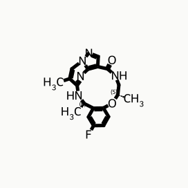 Cc1cn2ncc3c2nc1N[C@H](C)c1cc(F)ccc1O[C@@H](C)CNC3=O